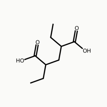 CCC(CC(CC)C(=O)O)C(=O)O